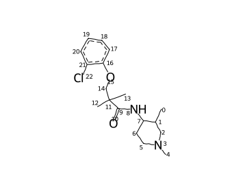 CC1CN(C)CCC1NC(=O)C(C)(C)COc1ccccc1Cl